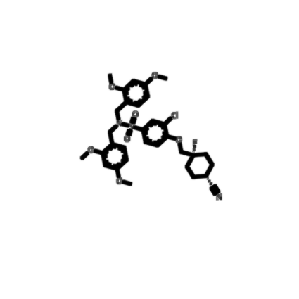 COc1ccc(CN(Cc2ccc(OC)cc2OC)S(=O)(=O)c2ccc(OC[C@]3(F)CC[C@@H](C#N)CC3)c(Cl)c2)c(OC)c1